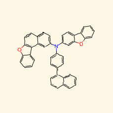 c1ccc2c(-c3ccc(N(c4ccc5c(c4)oc4ccccc45)c4ccc5ccc6oc7ccccc7c6c5c4)cc3)cccc2c1